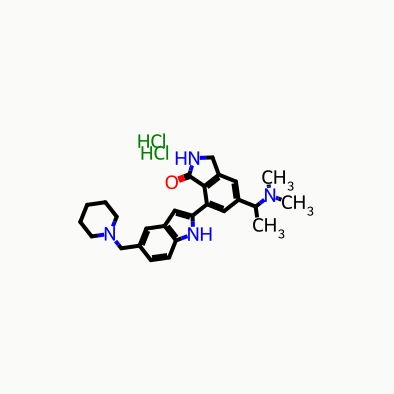 CC(c1cc2c(c(-c3cc4cc(CN5CCCCC5)ccc4[nH]3)c1)C(=O)NC2)N(C)C.Cl.Cl